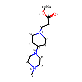 CCCCOC(=O)CCN1CCC(N2CCN(C)CC2)CC1